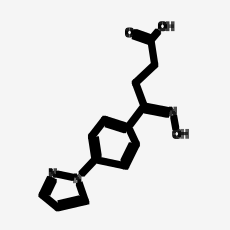 O=C(O)CC/C(=N/O)c1ccc(-n2cccn2)cc1